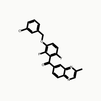 Cc1cnc2ccc(C(=O)c3c(F)ccc(OCc4cccc(Cl)c4)c3F)cc2n1